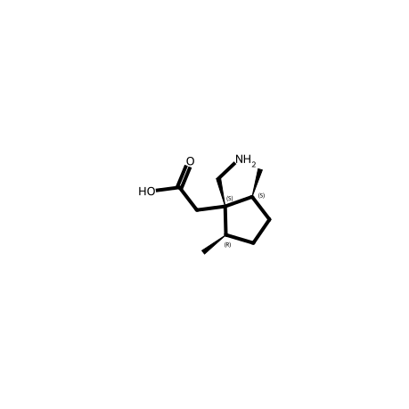 C[C@@H]1CC[C@H](C)[C@@]1(CN)CC(=O)O